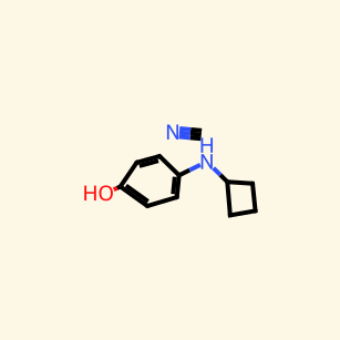 C#N.Oc1ccc(NC2CCC2)cc1